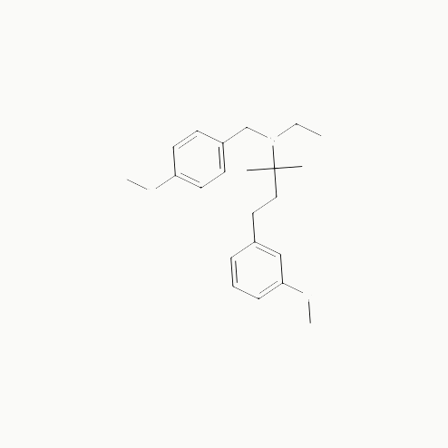 CCN(Cc1ccc(SC)cc1)C(C)(C)CCc1cccc(OC)c1